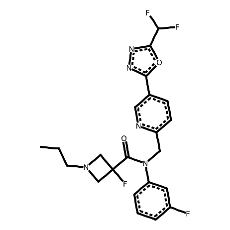 CCCN1CC(F)(C(=O)N(Cc2ccc(-c3nnc(C(F)F)o3)cn2)c2cccc(F)c2)C1